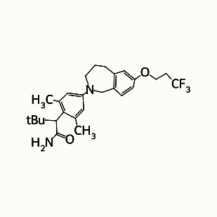 Cc1cc(N2CCCc3cc(OCCC(F)(F)F)ccc3C2)cc(C)c1C(C(N)=O)C(C)(C)C